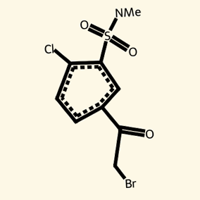 CNS(=O)(=O)c1cc(C(=O)CBr)ccc1Cl